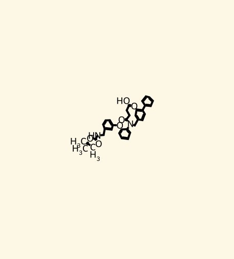 CC(C)(C)OC(=O)NCc1cccc(Oc2ccccc2N(Cc2ccc(-c3ccccc3)cc2)C(=O)CCC(=O)O)c1